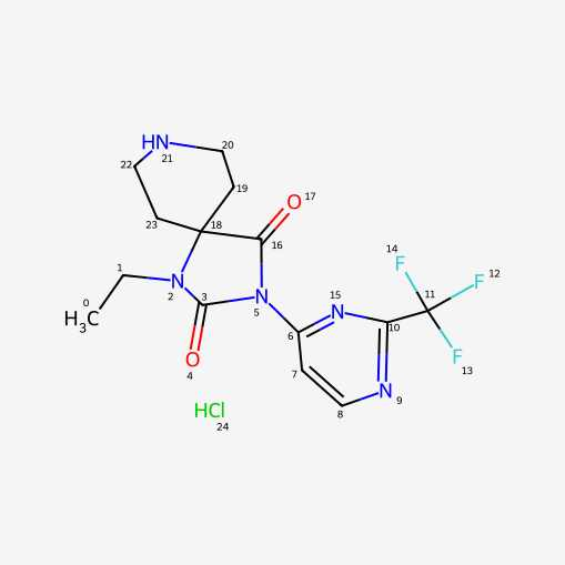 CCN1C(=O)N(c2ccnc(C(F)(F)F)n2)C(=O)C12CCNCC2.Cl